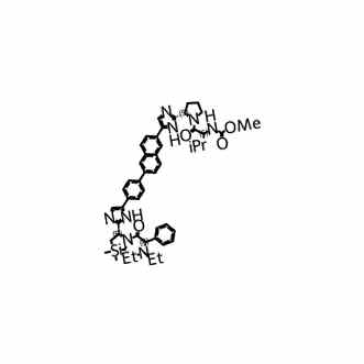 CCN(CC)[C@@H](C(=O)N1C[Si](C)(C)C[C@H]1c1ncc(-c2ccc(-c3ccc4cc(-c5cnc([C@@H]6CCCN6C(=O)[C@@H](NC(=O)OC)C(C)C)[nH]5)ccc4c3)cc2)[nH]1)c1ccccc1